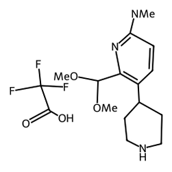 CNc1ccc(C2CCNCC2)c(C(OC)OC)n1.O=C(O)C(F)(F)F